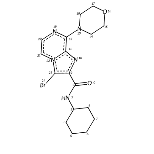 O=C(NC1CCCCC1)c1nc2c(N3CCOCC3)nccn2c1Br